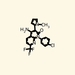 Cn1cccc1-c1c(N)c2ccc(C(F)(F)F)nc2n(-c2ccc(Cl)cc2)c1=O